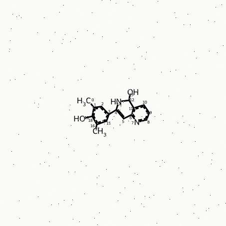 Cc1cc(C2=Cc3ncccc3C(O)N2)cc(C)c1O